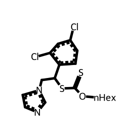 CCCCCCOC(=S)SC(Cn1ccnc1)c1ccc(Cl)cc1Cl